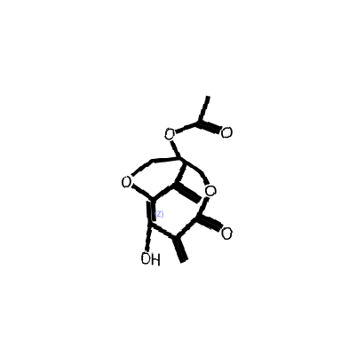 C=C1C(=O)OCC(OC(C)=O)CO/C(C(=C)C)=C/1O